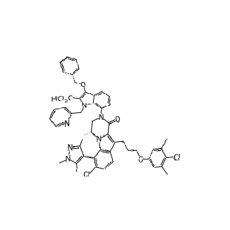 Cc1cc(OCCCc2c3n(c4c(-c5c(C)nn(C)c5C)c(Cl)ccc24)[C@H](C)CN(c2cccc4c(OCc5ccccc5)c(C(=O)O)n(Cc5ccccn5)c24)C3=O)cc(C)c1Cl